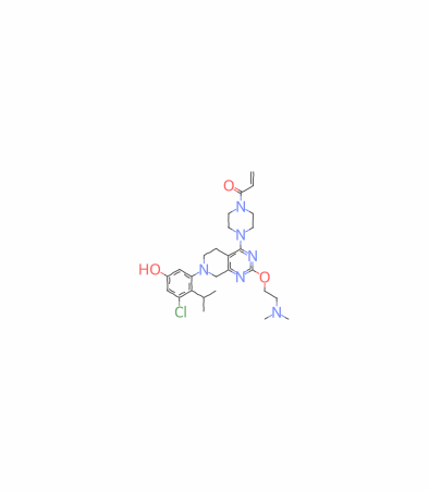 C=CC(=O)N1CCN(c2nc(OCCN(C)C)nc3c2CCN(c2cc(O)cc(Cl)c2C(C)C)C3)CC1